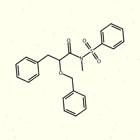 CN(C(=O)C(Cc1ccccc1)OCc1ccccc1)S(=O)(=O)c1ccccc1